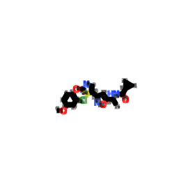 COc1ccc(Oc2ncc(-c3cc(C(C)NC(=O)C4CC4)on3)s2)c(Cl)c1